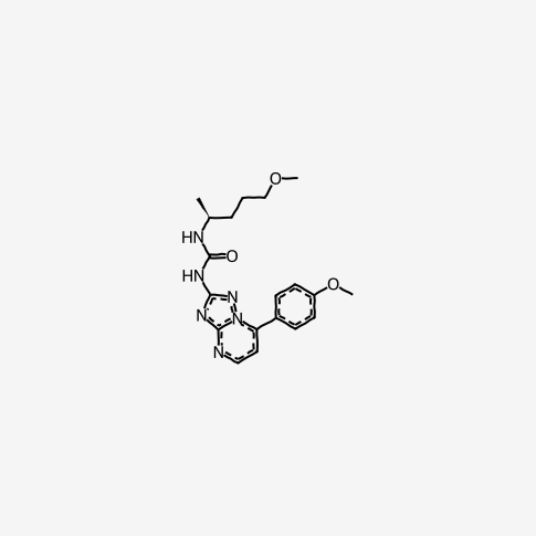 COCCC[C@H](C)NC(=O)Nc1nc2nccc(-c3ccc(OC)cc3)n2n1